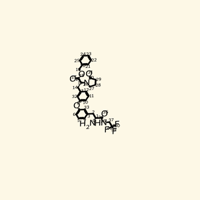 N[C@@H](Cc1cccc(Oc2cccc(C[C@@H](C(=O)OCc3ccccc3)N3CCCC3=O)c2)c1)C(=O)NCC(F)(F)F